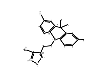 Cc1ccc2c(c1)C(C)(C)c1cc(Cl)ccc1N2CCc1nsnc1O